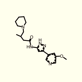 COc1cncc(-c2cc(NC(=O)CC(C)CN3CCCCC3)[nH]n2)c1